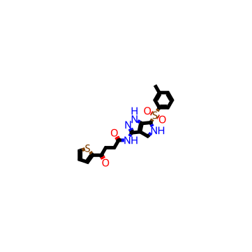 Cc1cccc(S(=O)(=O)C2NCc3c(NC(=O)CCC(=O)c4cccs4)n[nH]c32)c1